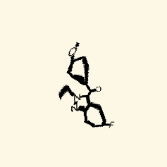 CCn1nc2ccc(F)cc2c1C(=O)c1ccc(OC)cc1